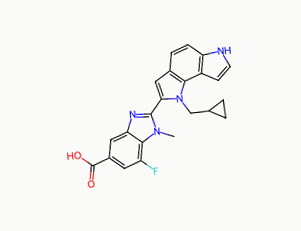 Cn1c(-c2cc3ccc4[nH]ccc4c3n2CC2CC2)nc2cc(C(=O)O)cc(F)c21